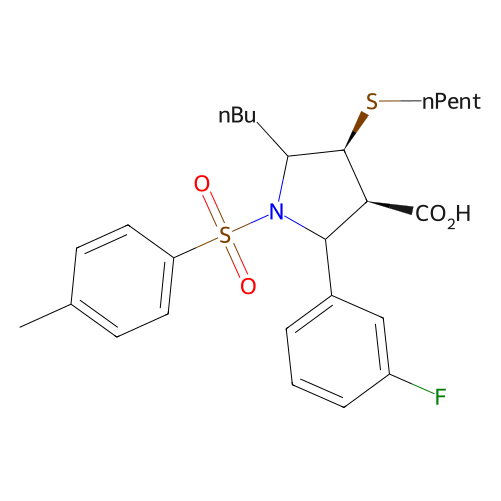 CCCCCS[C@@H]1C(CCCC)N(S(=O)(=O)c2ccc(C)cc2)C(c2cccc(F)c2)[C@@H]1C(=O)O